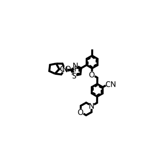 Cc1ccc(OCc2ccc(CN3CCOCC3)cc2C#N)c(-c2csc(N3CC4CCC(C3)C4C(=O)O)n2)c1